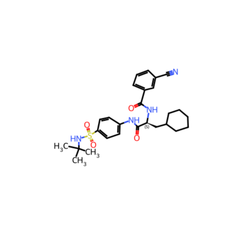 CC(C)(C)NS(=O)(=O)c1ccc(NC(=O)[C@H](CC2CCCCC2)NC(=O)c2cccc(C#N)c2)cc1